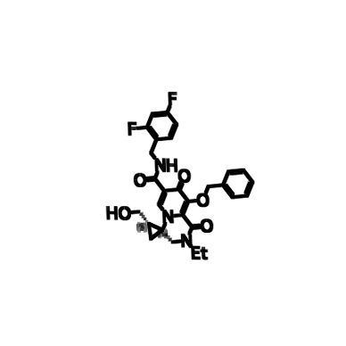 CCN1C[C@@]2(C[C@@H]2CO)n2cc(C(=O)NCc3ccc(F)cc3F)c(=O)c(OCc3ccccc3)c2C1=O